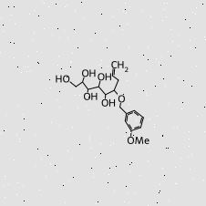 C=CCC(OCc1cccc(OC)c1)C(O)C(O)C(O)C(O)CO